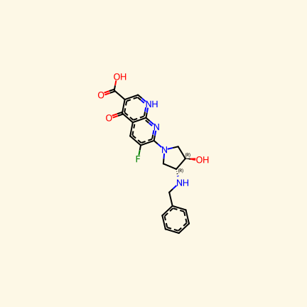 O=C(O)c1c[nH]c2nc(N3C[C@@H](O)[C@H](NCc4ccccc4)C3)c(F)cc2c1=O